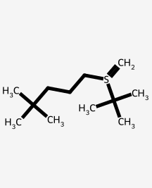 C=S(CCCC(C)(C)C)C(C)(C)C